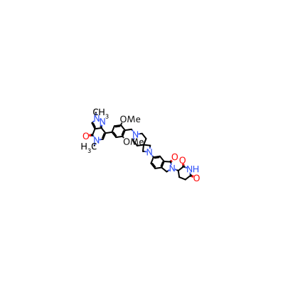 COc1cc(-c2cn(C)c(=O)c3cn(C)nc23)cc(OC)c1CN1CCC2(CC1)CN(c1ccc3c(c1)C(=O)N(C1CCC(=O)NC1=O)C3)C2